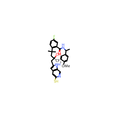 COc1ccc(C(C)NC(=O)c2cc(F)ccc2C(C)(C)C[C@@](O)(Cc2cc3cc(S)ncc3[nH]2)C(F)(F)F)cc1